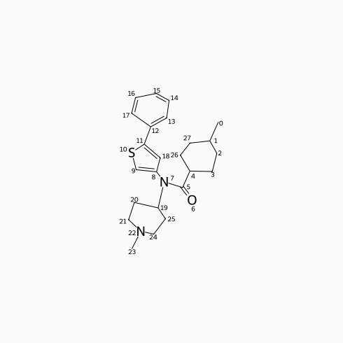 CC1CCC(C(=O)N(c2csc(-c3ccccc3)c2)C2CCN(C)CC2)CC1